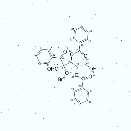 O=C[C@](OBr)(C(=O)c1ccccc1)[C@@H](OC(=O)c1ccccc1)[C@H](CO)OC(=O)c1ccccc1